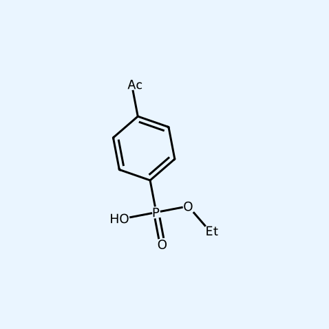 CCOP(=O)(O)c1ccc(C(C)=O)cc1